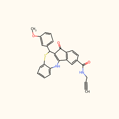 C#CCNC(=O)c1ccc2c(c1)C1=C(C2=O)C(c2cccc(OC)c2)Sc2ccccc2N1